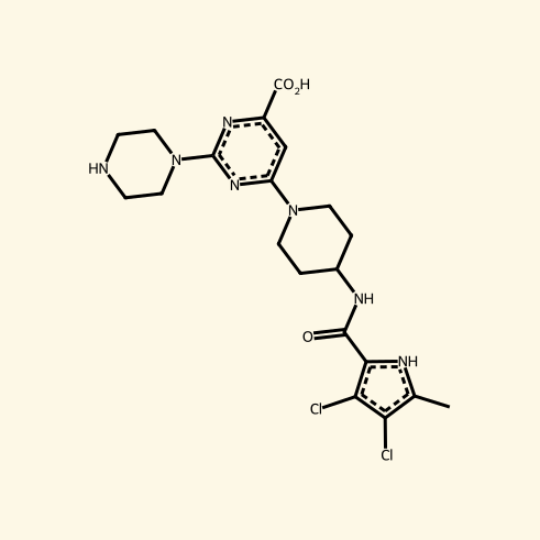 Cc1[nH]c(C(=O)NC2CCN(c3cc(C(=O)O)nc(N4CCNCC4)n3)CC2)c(Cl)c1Cl